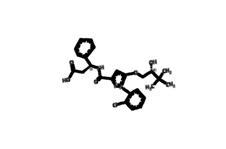 CC(C)(C)[C@@H](O)COc1cc(C(=O)N[C@@H](CC(=O)O)c2ccccc2)nn1-c1ccccc1Cl